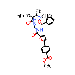 CCCCCC(C(=O)NCNC(=O)c1ccc(-c2ccc(C(=O)OCCCC)cc2)o1)[C@@H](CC)N(C=O)OCc1ccccc1